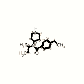 CCc1ccc(C(=O)N(C(C)CC)C2CCNCC2)cc1